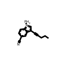 CCCC#Cc1cn(P)c2ccc(C#N)cc12